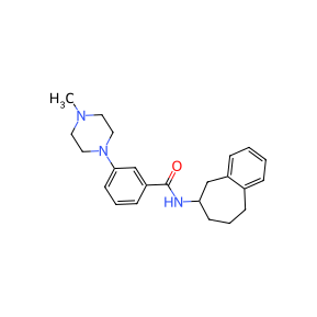 CN1CCN(c2cccc(C(=O)NC3CCCc4ccccc4C3)c2)CC1